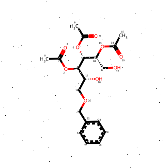 CC(=O)O[C@@H]([C@H](OC(C)=O)[C@@H](CO)OC(C)=O)[C@H](O)COCc1ccccc1